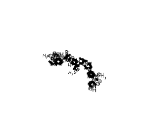 COc1cc(N2CCC(CN3CCN(c4ccc5c(c4)n(C)c(=O)n5C4CCC(=O)NC4=O)CC3)CC2)c(-c2cnn(C)c2)cc1Nc1ncc(Br)c(Nc2ccc3nccnc3c2N(C)S(C)(=O)=O)n1